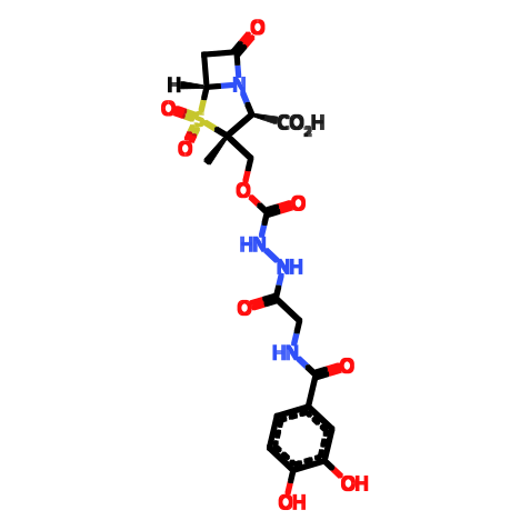 C[C@]1(COC(=O)NNC(=O)CNC(=O)c2ccc(O)c(O)c2)[C@H](C(=O)O)N2C(=O)C[C@H]2S1(=O)=O